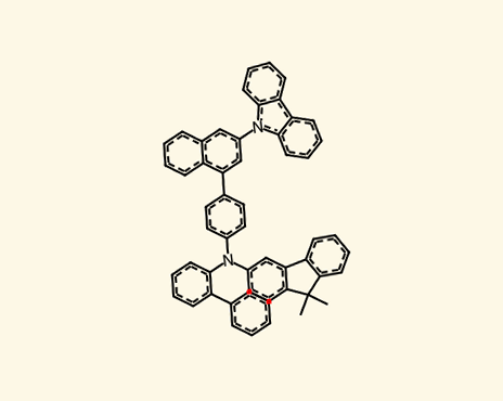 CC1(C)c2ccccc2-c2cc(N(c3ccc(-c4cc(-n5c6ccccc6c6ccccc65)cc5ccccc45)cc3)c3ccccc3-c3ccccc3)ccc21